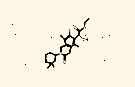 CCOC(=O)[C@@H](O)c1c(C)c2c(c(C)c1I)CN(C1CCCC(C)(C)C1)C(=O)C2